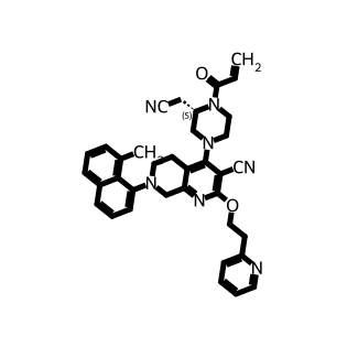 C=CC(=O)N1CCN(c2c(C#N)c(OCCc3ccccn3)nc3c2CCN(c2cccc4cccc(C)c24)C3)C[C@@H]1CC#N